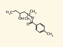 CCC(O)C[N+](C)(C)[N-]C(=O)c1ccc(C)cc1